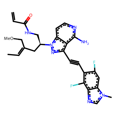 C=CC(=O)NC[C@H](C/C(=C/C)COC)n1nc(C#Cc2c(F)cc3c(ncn3C)c2F)c2c(N)nccc21